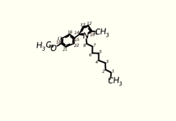 CCCCCCCCCn1c(C)ccc1-c1ccc(OC)cc1